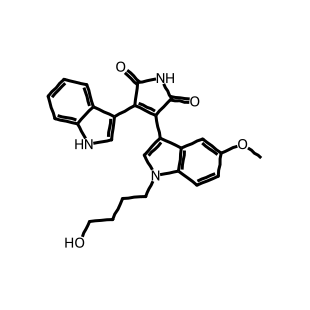 COc1ccc2c(c1)c(C1=C(c3c[nH]c4ccccc34)C(=O)NC1=O)cn2CCCCO